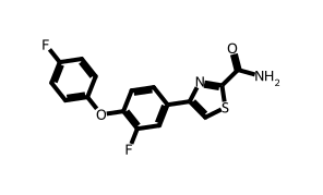 NC(=O)c1nc(-c2ccc(Oc3ccc(F)cc3)c(F)c2)cs1